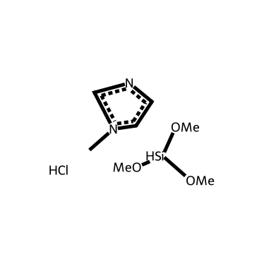 CO[SiH](OC)OC.Cl.Cn1ccnc1